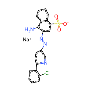 Nc1c(N=Nc2ccc(-c3ccccc3Cl)nc2)cc(S(=O)(=O)[O-])c2ccccc12.[Na+]